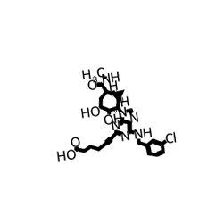 CNC(=O)C1CC(O)C(O)[C@H](n2cnc3c(NCc4cccc(Cl)c4)nc(C#CCCCC(=O)O)nc32)[C@H]2C[C@@H]12